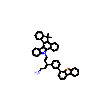 CC1(C)c2ccccc2-c2c1c1ccccc1c1c2c2ccccc2n1/C=C/C(=C\CN)c1cccc(-c2cccc3c2sc2ccccc23)c1